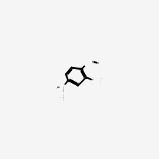 CC(C)Nc1ccc(OC(F)(F)F)c(C(F)(F)F)c1